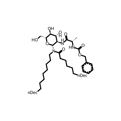 CCCCCCCCCCCCCCCCCCN(C(=O)CCCCCCCCCCCCCCC)[C@@H]1O[C@H](CO)[C@@H](O)[C@H](O)[C@H]1NC(=O)[C@H](C)NC(=O)OCc1ccccc1